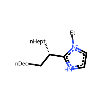 CCCCCCCCCCC[C@H](CCCCCCC)c1[nH]cc[n+]1CC